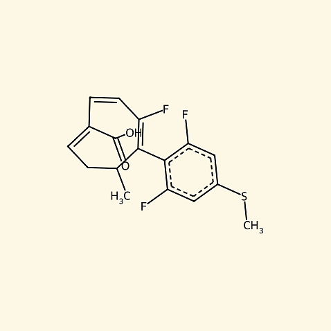 CSc1cc(F)c(/C2=C(F)/C=C\C(C(=O)O)=C\CC2C)c(F)c1